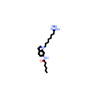 CCCCCC(=O)Nc1ccc2ccn(CCCCCCCc3nnn[nH]3)c2c1